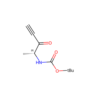 C#CC(=O)[C@@H](C)NC(=O)OC(C)(C)C